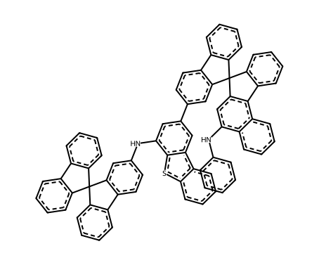 c1ccc(Nc2cc3c(c4ccccc24)-c2ccccc2C32c3ccccc3-c3ccc(-c4cc(Nc5ccc6c(c5)C5(c7ccccc7-c7ccccc75)c5ccccc5-6)c5sc6ccccc6c5c4)cc32)cc1